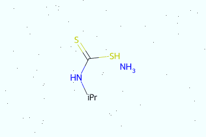 CC(C)NC(=S)S.N